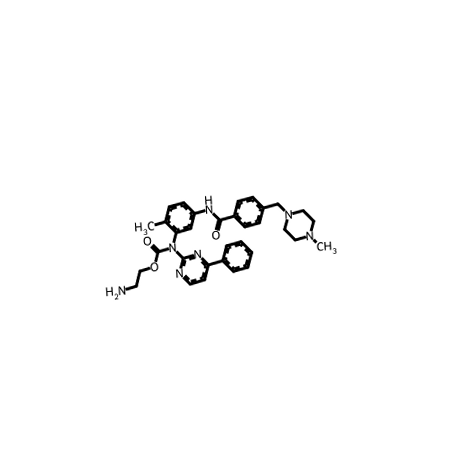 Cc1ccc(NC(=O)c2ccc(CN3CCN(C)CC3)cc2)cc1N(C(=O)OCCN)c1nccc(-c2ccccc2)n1